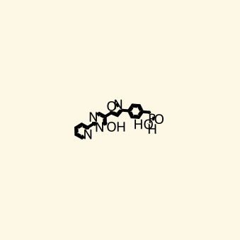 O=[PH](O)Cc1ccc(-c2cc(-c3cnc(-c4ccccn4)nc3O)on2)cc1